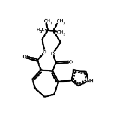 CC(C)COC(=O)C1=CCCCC(c2cc[nH]c2)=C1C(=O)OCC(C)C